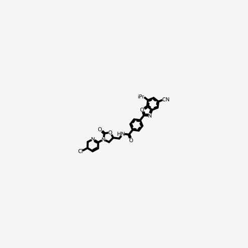 CC(C)c1cc(C#N)cc2nc(-c3ccc(C(=O)NCC4CN(C5=NCC(Cl)C=C5)C(=O)O4)cc3)oc12